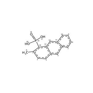 Cc1ccc2cc3ccccc3cc2c1P(=O)(O)O